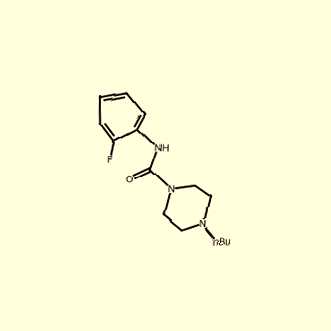 CCCCN1CCN(C(=O)Nc2ccccc2F)CC1